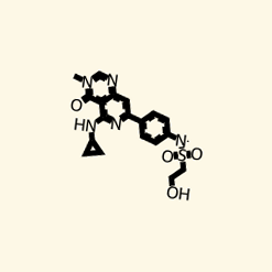 Cn1cnc2cc(-c3ccc([N]S(=O)(=O)CCO)cc3)nc(NC3CC3)c2c1=O